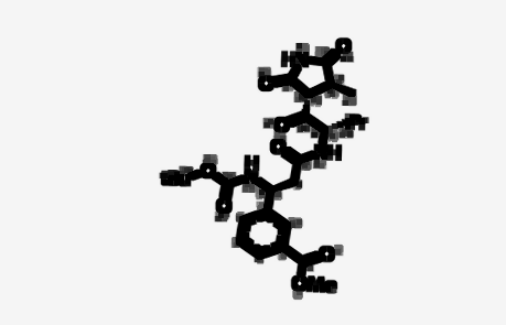 COC(=O)c1cccc([C@H](CC(=O)N[C@H](C(=O)[C@@H]2C(=O)NC(=O)[C@H]2C)C(C)C)NC(=O)OC(C)(C)C)c1